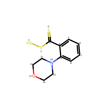 S=C(SS)c1ccccc1N1CCOCC1